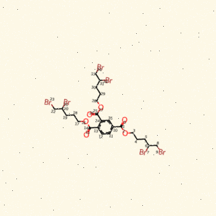 O=C(OCCCC(Br)CBr)c1ccc(C(=O)OCCCC(Br)CBr)c(C(=O)OCCCC(Br)CBr)c1